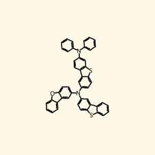 c1ccc(N(c2ccccc2)c2ccc3c(c2)sc2ccc(N(c4ccc5oc6ccccc6c5c4)c4ccc5sc6ccccc6c5c4)cc23)cc1